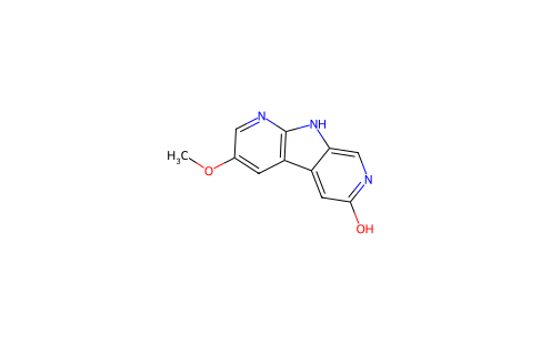 COc1cnc2[nH]c3cnc(O)cc3c2c1